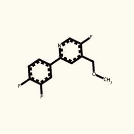 COCc1cc(-c2ccc(F)c(F)c2)ncc1F